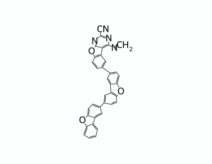 C=Nc1nc(C#N)nc2oc3ccc(-c4ccc5oc6ccc(-c7ccc8oc9ccccc9c8c7)cc6c5c4)cc3c12